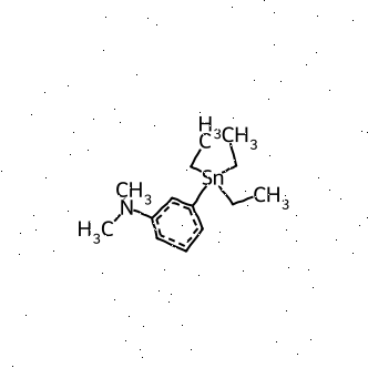 C[CH2][Sn]([CH2]C)([CH2]C)[c]1cccc(N(C)C)c1